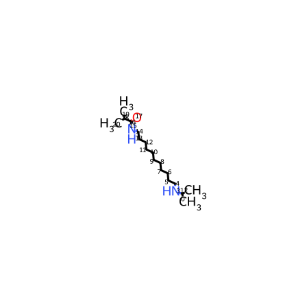 CC(C)NCCCCCCCCCCCNC(=O)C(C)C